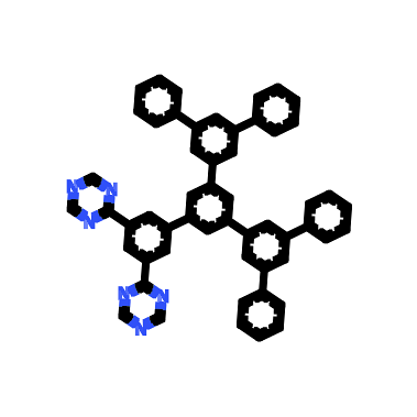 c1ccc(-c2cc(-c3ccccc3)cc(-c3cc(-c4cc(-c5ccccc5)cc(-c5ccccc5)c4)cc(-c4cc(-c5ncncn5)cc(-c5ncncn5)c4)c3)c2)cc1